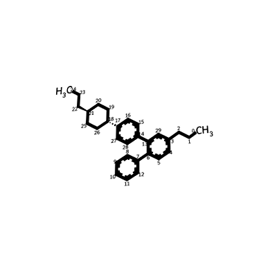 CCCc1ccc(-c2ccccc2)c(-c2ccc([C@H]3CC[C@H](CCC)CC3)cc2)c1